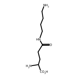 NCCCCNC(=O)CCC(N)C(=O)O